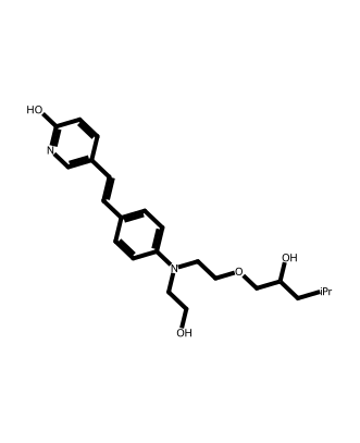 CC(C)CC(O)COCCN(CCO)c1ccc(/C=C/c2ccc(O)nc2)cc1